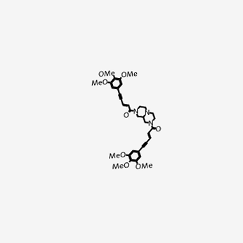 COc1cc(C#C/C=C/C(=O)N2CCN3CCN(C(=O)/C=C/C#Cc4cc(OC)c(OC)c(OC)c4)CC3C2)cc(OC)c1OC